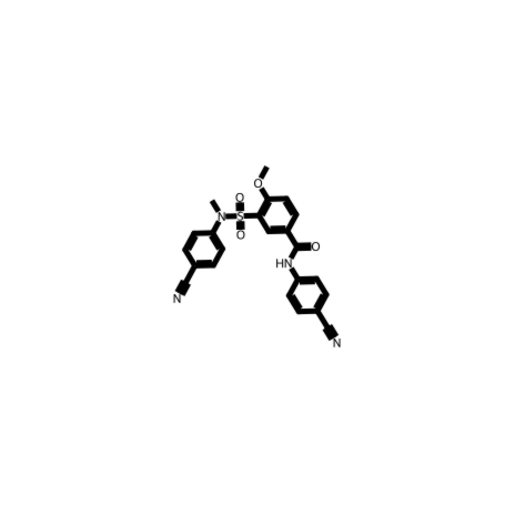 COc1ccc(C(=O)Nc2ccc(C#N)cc2)cc1S(=O)(=O)N(C)c1ccc(C#N)cc1